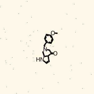 COc1ccc(CN2CC(=O)C3C=CNC3C2)cc1